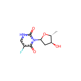 [CH2][C@H]1OC(n2c(=O)[nH]cc(F)c2=O)C[C@@H]1O